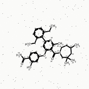 CCc1cccc(CC)c1-c1cc(Oc2ccc(C(N)=O)c(O)c2)c(C(=O)N2CCC(C)CC(C)(C)C2)c(C)n1